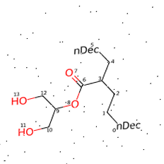 CCCCCCCCCCCCC(CCCCCCCCCCC)C(=O)OC(CO)CO